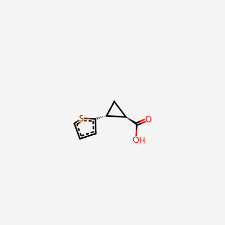 O=C(O)[C@@H]1C[C@H]1c1cccs1